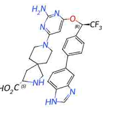 Nc1nc(O[C@H](c2ccc(-c3ccc4[nH]cnc4c3)cc2)C(F)(F)F)cc(N2CCC3(CC2)CN[C@H](C(=O)O)C3)n1